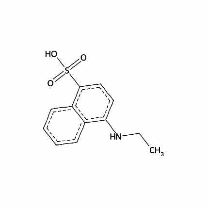 CCNc1ccc(S(=O)(=O)O)c2ccccc12